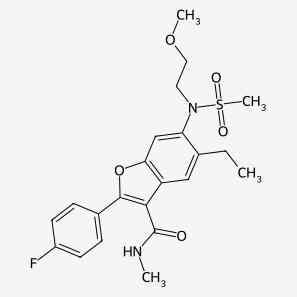 CCc1cc2c(C(=O)NC)c(-c3ccc(F)cc3)oc2cc1N(CCOC)S(C)(=O)=O